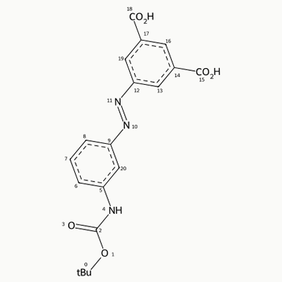 CC(C)(C)OC(=O)Nc1cccc(/N=N/c2cc(C(=O)O)cc(C(=O)O)c2)c1